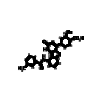 Cc1cccc(C(=O)Nc2cccc3nn4c(C5CCN(C(=O)O)C(C(C)(C)C)C5)cc(=O)[nH]c4c23)c1